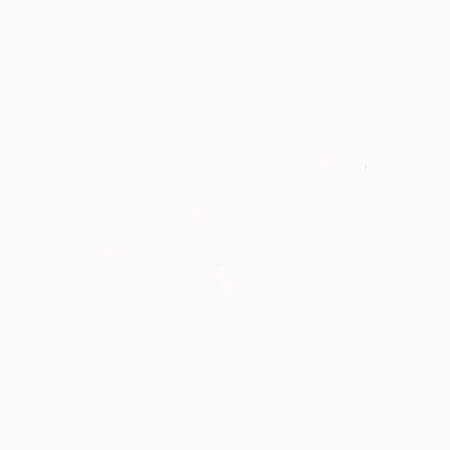 COc1ccc(SC2COc3cc(OC)ccc3C2=O)cc1